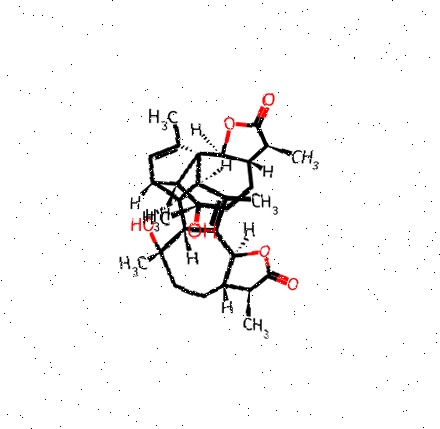 CC1=C[C@H]2[C@H]3[C@H](C(C)=C4[C@H]5OC(=O)[C@@H](C)[C@@H]5CC[C@](C)(O)[C@@H]43)[C@]13[C@@H]2[C@@](C)(O)CC[C@H]1[C@H](C)C(=O)O[C@@H]13